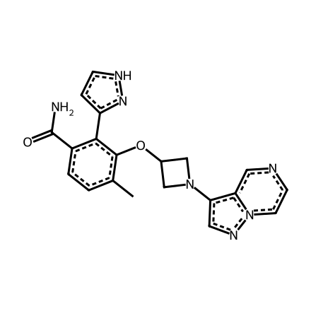 Cc1ccc(C(N)=O)c(-c2cc[nH]n2)c1OC1CN(c2cnn3ccncc23)C1